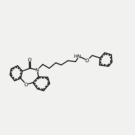 O=C1c2ccccc2Oc2ccccc2N1CCCCCCNOCc1ccccc1